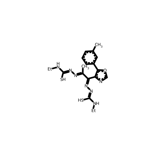 CCN/C(S)=N/N=C(C)/C(=N/N=C(\S)NCC)c1ncoc1-c1cccc(C)c1